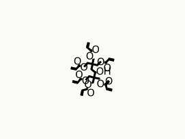 C=CC(=O)OCC(COC(=O)C=C)(COC(=O)C=C)CC(O)C(COC(=O)C=C)(COC(=O)C=C)COC(=O)C=C